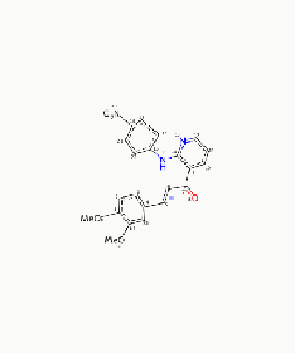 COc1ccc(/C=C/C(=O)c2cccnc2Nc2ccc([N+](=O)[O-])cc2)cc1OC